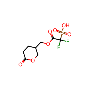 O=C1CCC(COC(=O)C(F)(F)S(=O)(=O)O)CO1